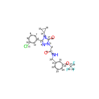 O=C(Cn1nc(-c2cccc(Cl)c2)n(C2CC2)c1=O)NCc1cccc(OC(F)(F)F)c1